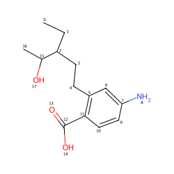 CCC(CCc1cc(N)ccc1C(=O)O)C(C)O